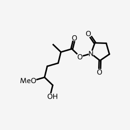 COC(CO)CCC(C)C(=O)ON1C(=O)CCC1=O